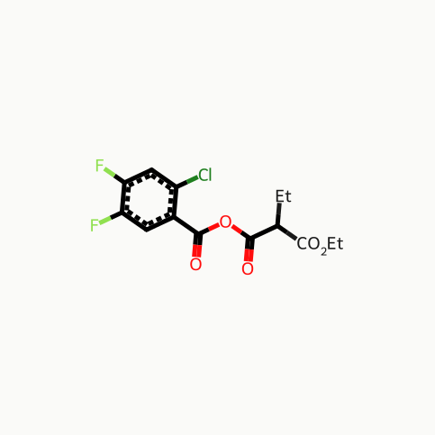 CCOC(=O)C(CC)C(=O)OC(=O)c1cc(F)c(F)cc1Cl